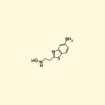 Bc1ccc2sc(CCNO)nc2c1